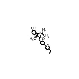 Cn1c(C(C=O)Cc2ccc(-c3ccc(CF)cn3)cc2)c(SC(C)(C)C)c2cc(O)ccc21